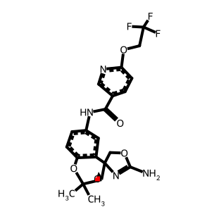 CC1(C)Oc2ccc(NC(=O)c3ccc(OCC(F)(F)F)nc3)cc2C2(COC(N)=N2)C12COC2